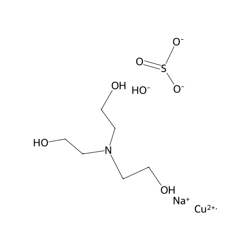 O=S([O-])[O-].OCCN(CCO)CCO.[Cu+2].[Na+].[OH-]